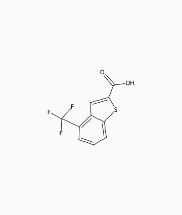 O=C(O)c1cc2c(C(F)(F)F)cccc2s1